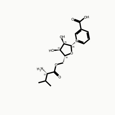 CC(C)[C@H](N)C(=O)OC[C@H]1O[C@@H]([n+]2cccc(C(=O)O)c2)[C@H](O)[C@@H]1O